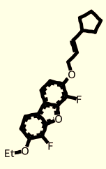 CCOc1ccc2c(oc3c(F)c(OC/C=C/C4CCCC4)ccc32)c1F